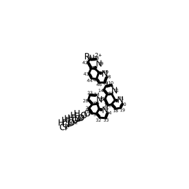 O.O.O.O.O.O.[Cl-].[Cl-].[Ru+2].c1cnc2c(c1)ccc1cccnc12.c1cnc2c(c1)ccc1cccnc12.c1cnc2c(c1)ccc1cccnc12